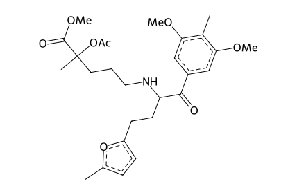 COC(=O)C(C)(CCCNC(CCc1ccc(C)o1)C(=O)c1cc(OC)c(C)c(OC)c1)OC(C)=O